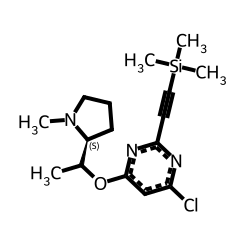 CC(Oc1cc(Cl)nc(C#C[Si](C)(C)C)n1)[C@@H]1CCCN1C